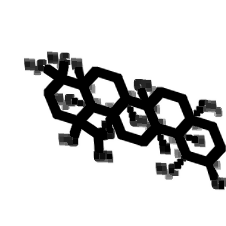 C[C@@H]1[C@H]2[C@H]3CC[C@@H]4[C@]5(C)[C@@H](CC[C@@]4(C)[C@]3(C)CC[C@@]2(C)CC[C@H]1C)C(C)(C)CCC5(O)C(=O)O